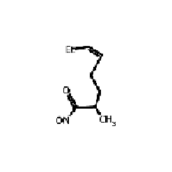 CC/C=C\CCC(C)C(=O)N=O